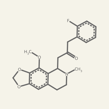 COc1c2c(cc3c1C(CC(=O)Cc1ccccc1F)N(C)CC3)OCO2